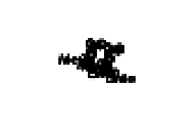 COC(=O)c1cnc(OC)c(N2CCN(C(=O)C3COC3)CC2)c1.COC(=O)c1cnc(OC)c(N2CCN(C(=O)C3COC3)CC2)c1